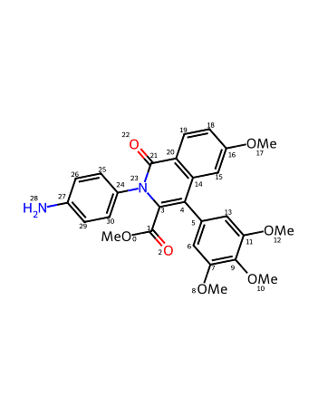 COC(=O)c1c(-c2cc(OC)c(OC)c(OC)c2)c2cc(OC)ccc2c(=O)n1-c1ccc(N)cc1